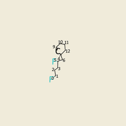 FCCCC(F)CC1CCCCC1